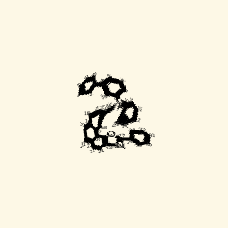 c1ccc(-c2cccc(N(c3ccccc3)c3ccc4ccc5ccc6nc(-c7ccccc7)oc6c5c4c3)c2)cc1